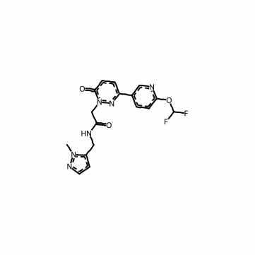 Cn1nccc1CNC(=O)Cn1nc(-c2ccc(OC(F)F)nc2)ccc1=O